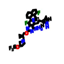 C#Cc1c(F)ccc2cccc(-c3nc(C[C@H](C)C4[C@H]5N[C@H]6CC465)c4c(N)nc(OCC5(CN6CC[C@H](OC(F)(F)F)C6)CC5)nc4c3F)c12